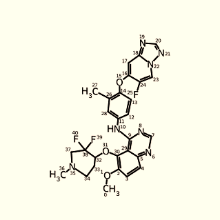 COc1ccc2ncnc(Nc3ccc(Oc4cc5ncnn5cc4F)c(C)c3)c2c1OC1CCN(C)CC1(F)F